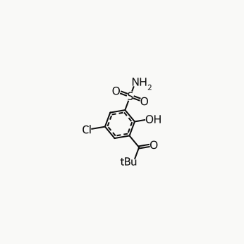 CC(C)(C)C(=O)c1cc(Cl)cc(S(N)(=O)=O)c1O